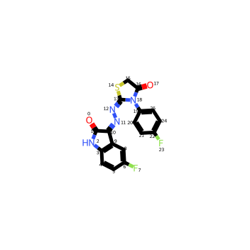 O=C1Nc2ccc(F)cc2C1=NN=C1SCC(=O)N1c1ccc(F)cc1